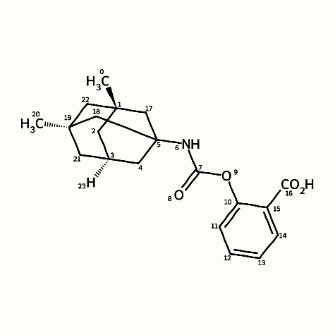 C[C@]12C[C@H]3CC(NC(=O)Oc4ccccc4C(=O)O)(C1)C[C@@](C)(C3)C2